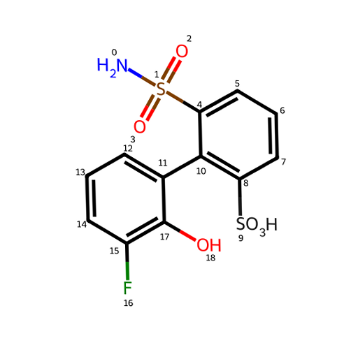 NS(=O)(=O)c1cccc(S(=O)(=O)O)c1-c1cccc(F)c1O